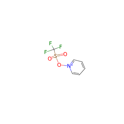 O=S(=O)(O[n+]1ccccc1)C(F)(F)F